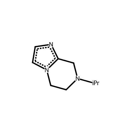 CC(C)N1CCn2ccnc2C1